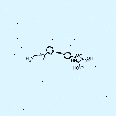 C[C@@H](O)[C@H](NC(=O)c1ccc(C#Cc2cccc(C(=O)NCCN)c2)cc1)C(=O)NO